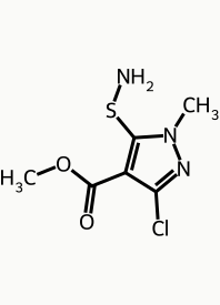 COC(=O)c1c(Cl)nn(C)c1SN